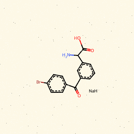 NC(C(=O)O)c1cccc(C(=O)c2ccc(Br)cc2)c1.[NaH]